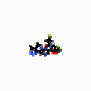 N[C@H](c1cn2ncc([C@@H]3C[C@@](O)(C(F)(F)F)CCN3C(=O)C34CC(F)(C3)C4)nc2n1)C(C1CC1)C1CC1